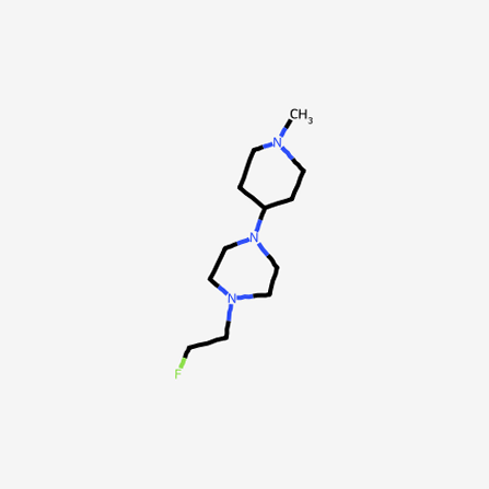 CN1CCC(N2CCN(CCF)CC2)CC1